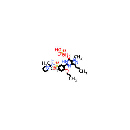 CCCOc1ccc(S(=O)(=O)NC(C)(C)N2CCCC2)cc1-c1nc2c(CCC)nn(C)c2c(=O)[nH]1.O=S(=O)(O)O